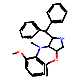 CCOC1CNC(C(c2ccccc2)c2ccccc2)C1N(C)c1ccccc1OC